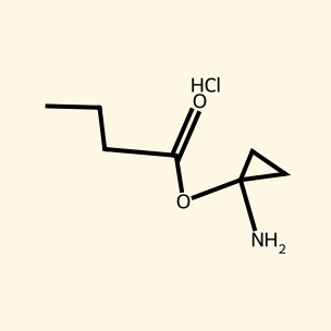 CCCC(=O)OC1(N)CC1.Cl